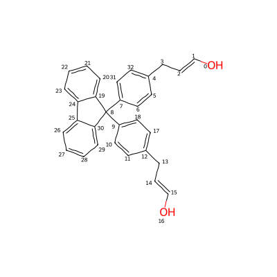 OC=CCc1ccc(C2(c3ccc(CC=CO)cc3)c3ccccc3-c3ccccc32)cc1